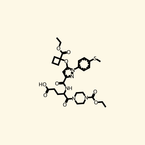 CCOC(=O)N1CCN(C(=O)C(CCC(=O)O)NC(=O)c2cc(OC3(C(=O)OCC)CCC3)n(-c3ccc(SC)cc3)n2)CC1